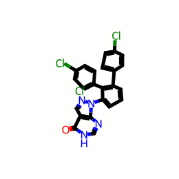 O=c1[nH]cnc2c1cnn2-c1cccc(-c2ccc(Cl)cc2)c1-c1ccc(Cl)cc1Cl